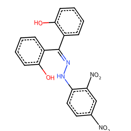 O=[N+]([O-])c1ccc(NN=C(c2ccccc2O)c2ccccc2O)c([N+](=O)[O-])c1